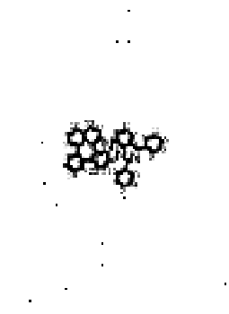 c1ccc(-c2nc(-c3ccccc3)c3cccc(-n4c5cccc6c5c5c7c(cccc7ccc54)-c4ccccc4-6)c3n2)cc1